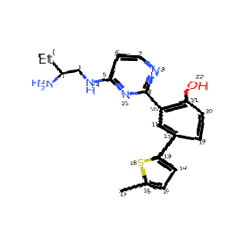 CCC(N)CNc1ccnc(-c2cc(-c3ccc(C)s3)ccc2O)n1